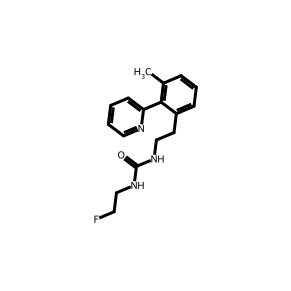 Cc1cccc(CCNC(=O)NCCF)c1-c1ccccn1